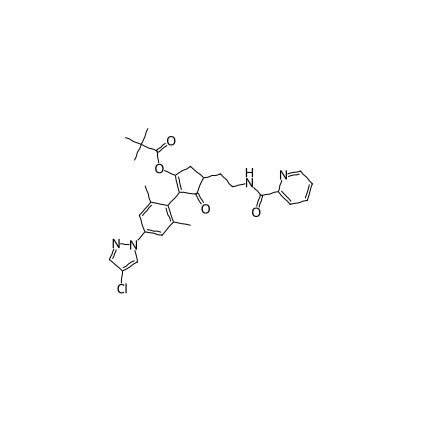 Cc1cc(-n2cc(Cl)cn2)cc(C)c1C1=C(OC(=O)C(C)(C)C)CC(CCNC(=O)c2ccccn2)C1=O